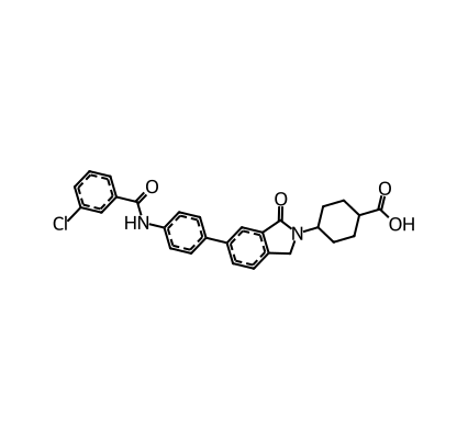 O=C(Nc1ccc(-c2ccc3c(c2)C(=O)N(C2CCC(C(=O)O)CC2)C3)cc1)c1cccc(Cl)c1